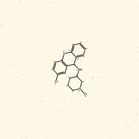 CCc1ccc2c(c1)C(NC1CCCN(CC)C1)c1ccccc1O2